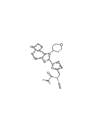 CN(C)C(=O)C(C#N)Cc1ccc(-c2nc3cnc4[nH]ccc4c3n2C2CCOCC2)o1